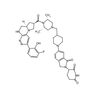 C[C@@H]1CN(CC2CCN(c3ccc4c(c3)C(=O)N(C3CCC(=O)NC3=O)C4)CC2)C[C@H](C)N1C(=O)[C@@H]1C[C@@H]2CNc3nnc(-c4cccc(F)c4O)cc3N2C1